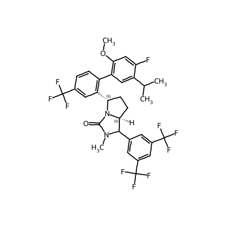 COc1cc(F)c(C(C)C)cc1-c1ccc(C(F)(F)F)cc1[C@@H]1CC[C@H]2C(c3cc(C(F)(F)F)cc(C(F)(F)F)c3)N(C)C(=O)N12